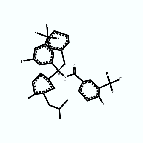 CC(C)Cc1cc([C@@](Cc2ccccc2)(NC(=O)c2ccc(F)c(C(F)(F)F)c2)c2cc(F)cc(C(F)(F)F)c2)ccc1F